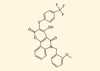 COc1ccccc1Cn1c(=O)c2c(O)c(Sc3ccc(C(F)(F)F)cc3)c(=O)oc2c2ccccc21